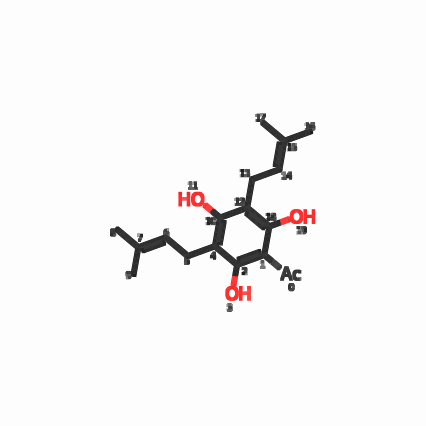 CC(=O)c1c(O)c(CC=C(C)C)c(O)c(CC=C(C)C)c1O